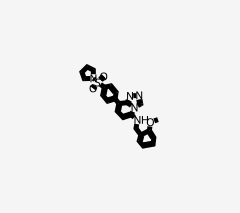 COc1ccccc1CNc1ccc(-c2ccc(S(=O)(=O)N3CCCC3)cc2)c2nncn12